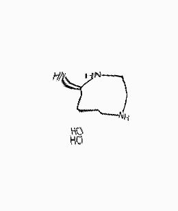 Cl.Cl.N=C1CCNCCN1